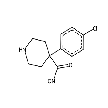 O=NC(=O)C1(c2ccc(Cl)cc2)CCNCC1